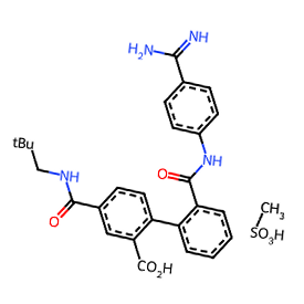 CC(C)(C)CNC(=O)c1ccc(-c2ccccc2C(=O)Nc2ccc(C(=N)N)cc2)c(C(=O)O)c1.CS(=O)(=O)O